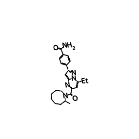 CCc1cc(C(=O)N2CCCCCCC2C)nc2cc(-c3ccc(C(N)=O)cc3)nn12